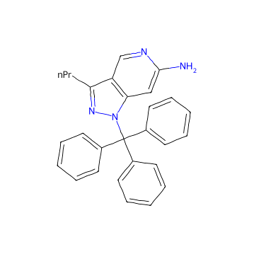 CCCc1nn(C(c2ccccc2)(c2ccccc2)c2ccccc2)c2cc(N)ncc12